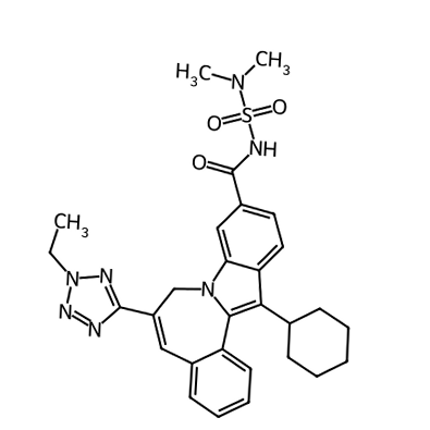 CCn1nnc(C2=Cc3ccccc3-c3c(C4CCCCC4)c4ccc(C(=O)NS(=O)(=O)N(C)C)cc4n3C2)n1